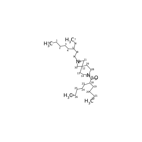 CCCCCC(CC)CCN1CC2(CCN(C(=O)C(CCCC)CCCCC)CC2)C1